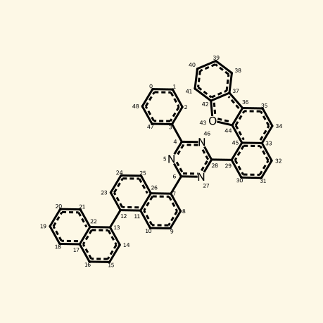 c1ccc(-c2nc(-c3cccc4c(-c5cccc6ccccc56)cccc34)nc(-c3cccc4ccc5c6ccccc6oc5c34)n2)cc1